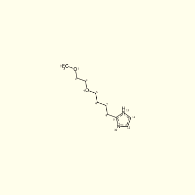 COCCOCCCCc1n[c]c[nH]1